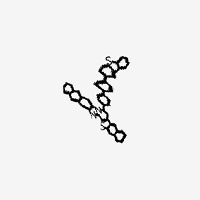 c1ccc2cc3cc4c(cc3cc2c1)nc1c2sc3cc5ccccc5cc3c2cc(-c2ccc(-c3ccc(-c5ccc6sc7ccccc7c6c5)cc3)cc2)n41